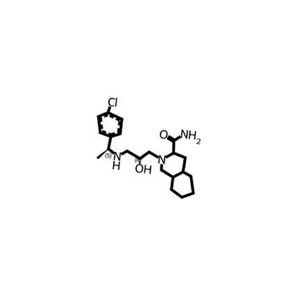 C[C@H](NC[C@@H](O)CN1CC2CCCCC2CC1C(N)=O)c1ccc(Cl)cc1